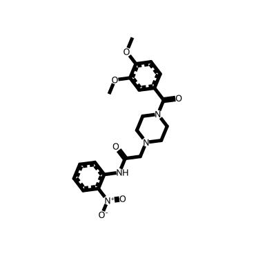 COc1ccc(C(=O)N2CCN(CC(=O)Nc3ccccc3[N+](=O)[O-])CC2)cc1OC